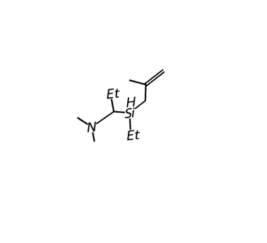 C=C(C)C[SiH](CC)C(CC)N(C)C